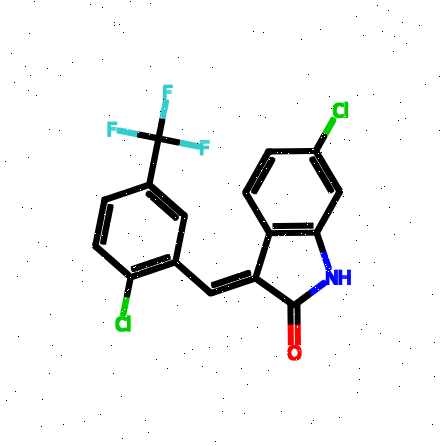 O=C1Nc2cc(Cl)ccc2/C1=C\c1cc(C(F)(F)F)ccc1Cl